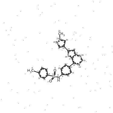 Cc1ccc(S(=O)(=O)Nc2ccc(-c3ncnc4cc(-c5cnn(C)c5)sc34)cc2)cc1